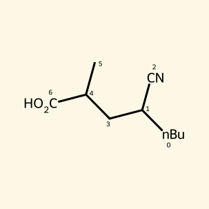 CCCCC(C#N)CC(C)C(=O)O